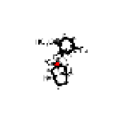 CC(C)(C)OC(=O)N1[C@@H]2CC[C@H]1C[C@@H](Oc1cc(F)ccc1C(=O)O)C2